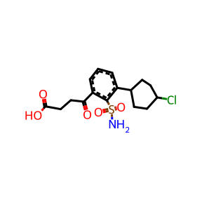 NS(=O)(=O)c1c(C(=O)CCC(=O)O)cccc1C1CCC(Cl)CC1